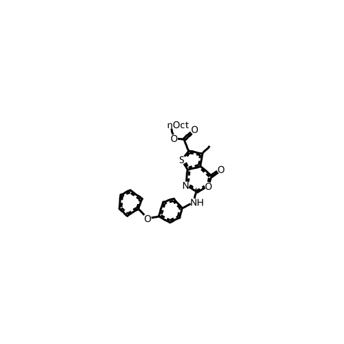 CCCCCCCCOC(=O)c1sc2nc(Nc3ccc(Oc4ccccc4)cc3)oc(=O)c2c1C